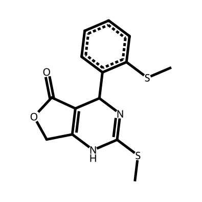 CSC1=NC(c2ccccc2SC)C2=C(COC2=O)N1